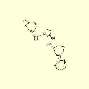 O=C(Nc1cccc(Nc2ccc(Cl)cc2)c1)N1CCCN(c2ncccn2)CC1